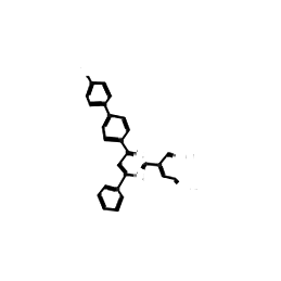 C=C/C=C(\C=C)c1nc(-c2ccccc2)cc(-c2ccc(-c3ccc(Cl)cc3)cc2)n1